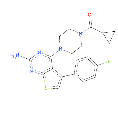 Nc1nc(N2CCN(C(=O)C3CC3)CC2)c2c(-c3ccc(F)cc3)csc2n1